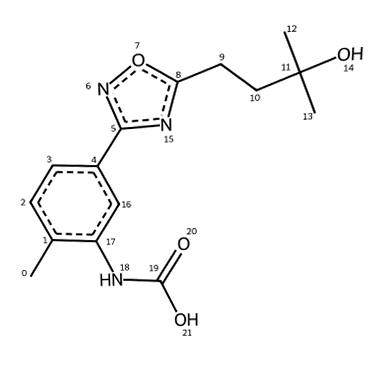 Cc1ccc(-c2noc(CCC(C)(C)O)n2)cc1NC(=O)O